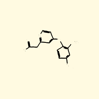 COc1cc([N+](=O)[O-])ccc1Oc1ccnc(CC(N)=O)c1